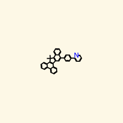 CC1(C)c2c(cc(-c3ccc(-c4ccccn4)cc3)c3ccccc23)-c2c1c1ccccc1c1ccccc21